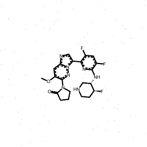 COc1cc2ncc(-c3nc(N[C@H]4CNCC[C@@H]4F)c(F)cc3F)n2nc1N1CCCC1=O